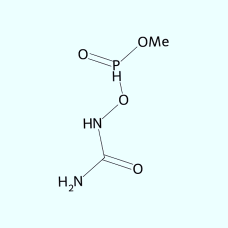 CO[PH](=O)ONC(N)=O